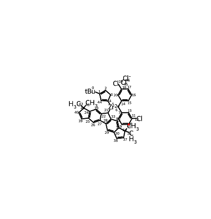 CC(C)(C)C1=CC[C]([Zr+2](=[C](c2cccc(Cl)c2)c2cccc(Cl)c2)[CH]2c3cc4c(cc3-c3cc5c(cc32)C(C)(C)C=C5)C=CC4(C)C)=C1.[Cl-].[Cl-]